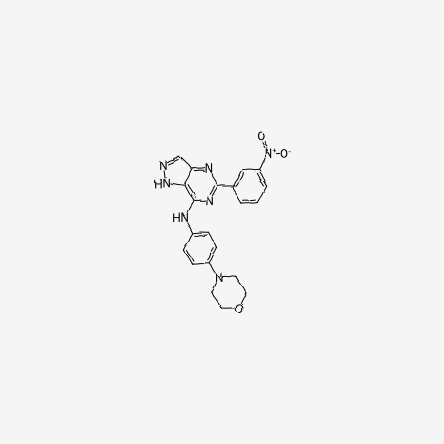 O=[N+]([O-])c1cccc(-c2nc(Nc3ccc(N4CCOCC4)cc3)c3[nH]ncc3n2)c1